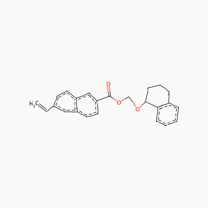 C=Cc1ccc2cc(C(=O)OCOC3CCCc4ccccc43)ccc2c1